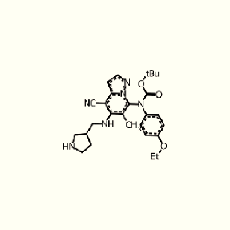 CCOc1ccc(N(C(=O)OC(C)(C)C)c2c(C)c(NCC3CCNC3)c(C#N)c3ccnn23)cc1